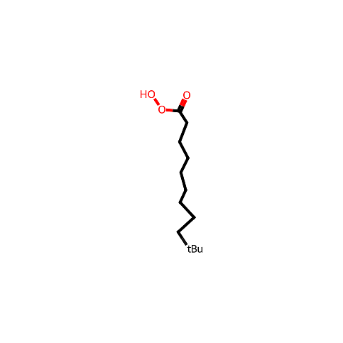 CC(C)(C)CCCCCCCCC(=O)OO